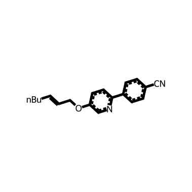 CCCCC=CCOc1ccc(-c2ccc(C#N)cc2)nc1